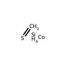 C=S.[Co].[SiH4]